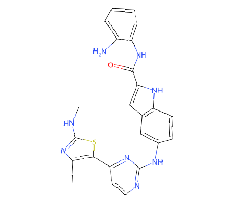 CNc1nc(C)c(-c2ccnc(Nc3ccc4[nH]c(C(=O)Nc5ccccc5N)cc4c3)n2)s1